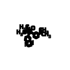 CN(C)c1cccc(-c2c(-c3ccc4nccnc4c3)n(C)n(C)c2=O)c1